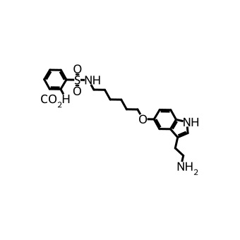 NCCc1c[nH]c2ccc(OCCCCCCNS(=O)(=O)c3ccccc3C(=O)O)cc12